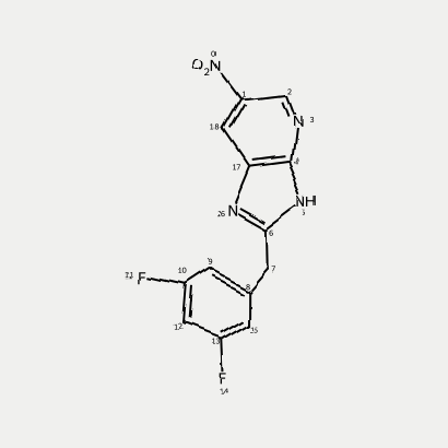 O=[N+]([O-])c1cnc2[nH]c(Cc3cc(F)cc(F)c3)nc2c1